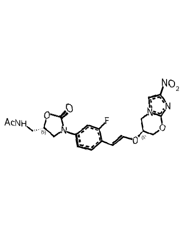 CC(=O)NC[C@H]1CN(c2ccc(C=CO[C@@H]3COc4nc([N+](=O)[O-])cn4C3)c(F)c2)C(=O)O1